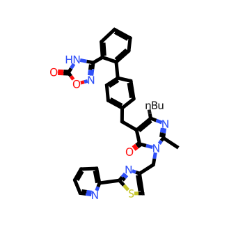 CCCCc1nc(C)n(Cc2csc(-c3ccccn3)n2)c(=O)c1Cc1ccc(-c2ccccc2-c2noc(=O)[nH]2)cc1